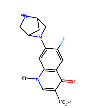 CCn1cc(C(=O)O)c(=O)c2cc(F)c(N3CC4CC3CN4)cc21